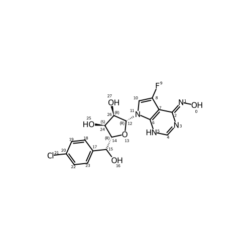 ON=c1nc[nH]c2c1c(F)cn2[C@@H]1O[C@H](C(O)c2ccc(Cl)cc2)[C@@H](O)[C@H]1O